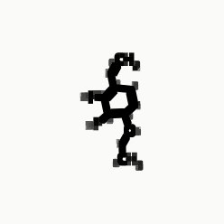 C=Cc1ccc(OCC)c(F)c1F